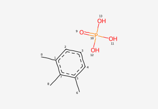 Cc1cccc(C)c1C.O=P(O)(O)O